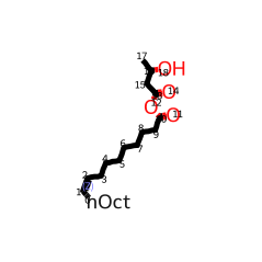 CCCCCCCC/C=C\CCCCCCCC(=O)OC(=O)CC(C)O